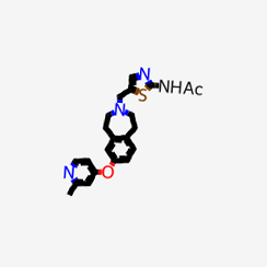 CC(=O)Nc1ncc(CN2CCc3ccc(Oc4ccnc(C)c4)cc3CC2)s1